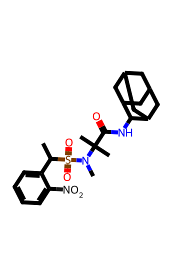 CC(c1ccccc1[N+](=O)[O-])S(=O)(=O)N(C)C(C)(C)C(=O)NC1C2CC3CC(C2)CC1C3